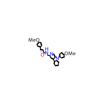 COc1ccc(/C=C/C(=O)NCc2cc3c4ccccc4n(-c4ccc(OC)cc4)c3cn2)cc1